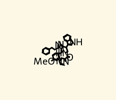 COc1ccc(Cn2c(CCc3ccccc3)nnc2C(CNC(=O)c2cnccn2)c2c[nH]c3ccccc23)cc1